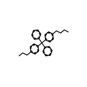 CCCCc1ccc(C(c2ccccc2)(c2ccccc2)c2ccc(CCC)cc2)cc1